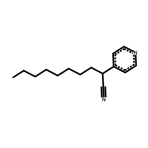 [CH2]CCCCCCCC(C#N)c1ccncc1